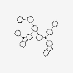 c1ccc(-c2ccc(N(c3cccc(-c4ccc(-c5cccc(-c6ccccc6)c5)cc4-c4ccc5c6ccccc6n(-c6ccccc6)c5c4)c3)c3ccc4oc5ccccc5c4c3)cc2)cc1